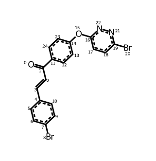 O=C(C=Cc1ccc(Br)cc1)c1ccc(Oc2ccc(Br)nn2)cc1